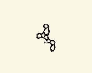 c1ccc2c(c1)ccc1c2[nH]c2c1c1cc3ccccc3c3c4ccccc4n2c13